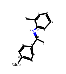 C/C(=N\c1ccccc1C)c1ccc(C(C)(C)C)cc1